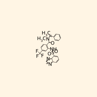 C[C@H](c1ccccc1)N(C)C(=O)c1ccc(C(F)(F)F)cc1NS(=O)(=O)c1cccc2nsnc12